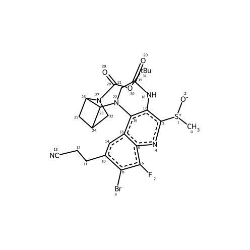 C[S+]([O-])c1nc2c(F)c(Br)c(CCC#N)cc2c2c1NC(=O)CN2C1C2CC1N(C(=O)OC(C)(C)C)C2